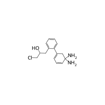 NC1(N)C=CC=C(c2ccccc2CC(O)CCl)C1